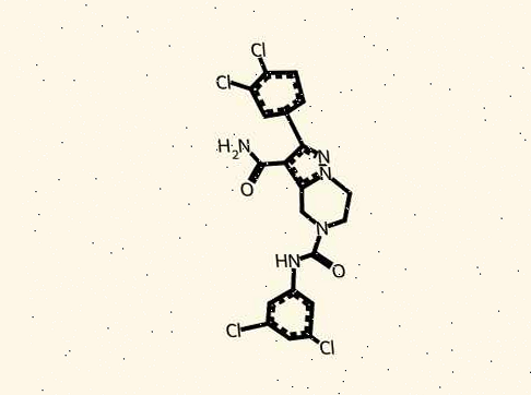 NC(=O)c1c(-c2ccc(Cl)c(Cl)c2)nn2c1CN(C(=O)Nc1cc(Cl)cc(Cl)c1)CC2